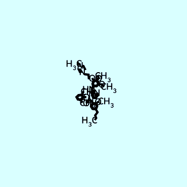 CCCCc1ccc(N(C(=O)Oc2c(C)cccc2C)c2ccnc(Nc3cc(OC)c(OC)c(OCCCN4CCN(C)CC4)c3)n2)c(OC)c1